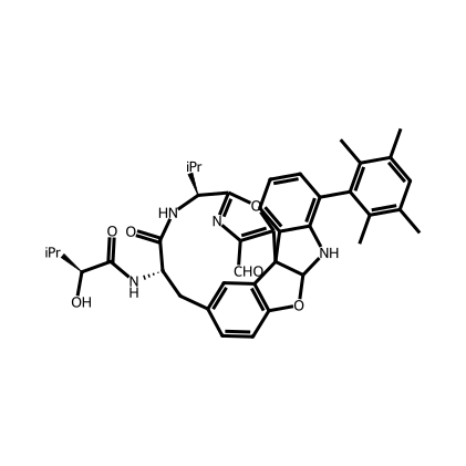 Cc1cc(C)c(C)c(-c2cccc3c2NC2Oc4ccc5cc4C32c2oc(nc2C=O)[C@H](C(C)C)NC(=O)[C@@H](NC(=O)[C@@H](O)C(C)C)C5)c1C